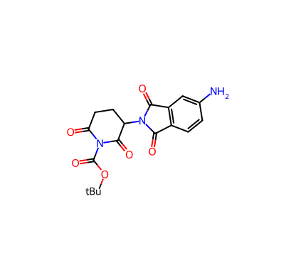 CC(C)(C)OC(=O)N1C(=O)CCC(N2C(=O)c3ccc(N)cc3C2=O)C1=O